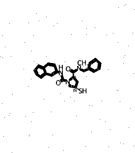 CN(Cc1ccccc1)C(=O)[C@H]1C[C@H](S)CN1C(=O)Nc1ccc2ccccc2c1